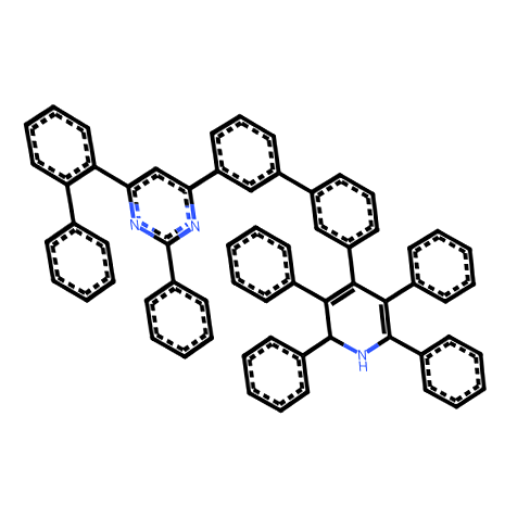 c1ccc(C2=C(c3ccccc3)C(c3cccc(-c4cccc(-c5cc(-c6ccccc6-c6ccccc6)nc(-c6ccccc6)n5)c4)c3)=C(c3ccccc3)C(c3ccccc3)N2)cc1